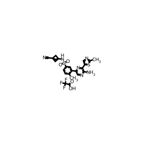 Cc1ncc(-c2nc(-c3cc(S(=O)(=O)NC45CC(C#N)(C4)C5)ccc3C)cnc2N)s1.O=C(O)C(F)(F)F